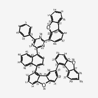 c1ccc(-c2nc(-c3ccc(-c4cccc5oc6ccc(-c7cccc8oc9ccccc9c78)cc6c45)c4ccccc34)nc(-c3cccc4c3oc3ccccc34)n2)cc1